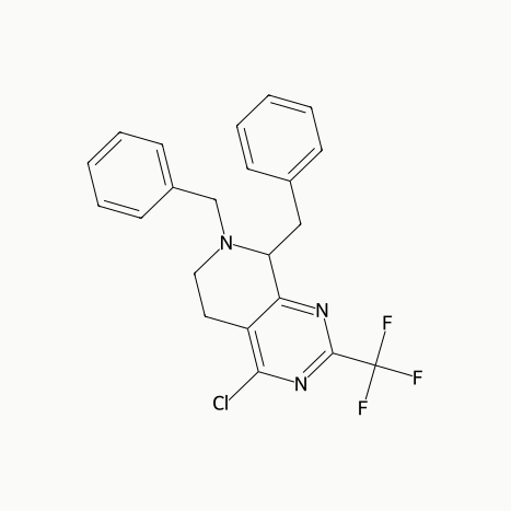 FC(F)(F)c1nc(Cl)c2c(n1)C(Cc1ccccc1)N(Cc1ccccc1)CC2